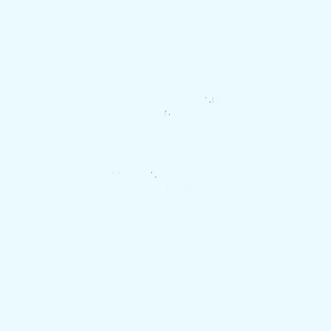 O=C1c2ccccc2C(=O)N1CCC1CNCCN1